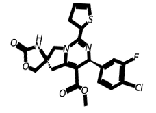 COC(=O)C1=C2C[C@@]3(COC(=O)N3)CN2C(C2CC=CS2)=N[C@H]1c1ccc(Cl)c(F)c1